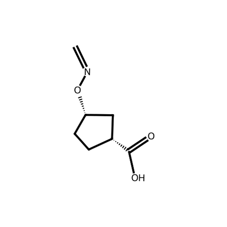 C=NO[C@H]1CC[C@@H](C(=O)O)C1